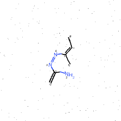 C=C(N)/N=N\C(C)=C/C